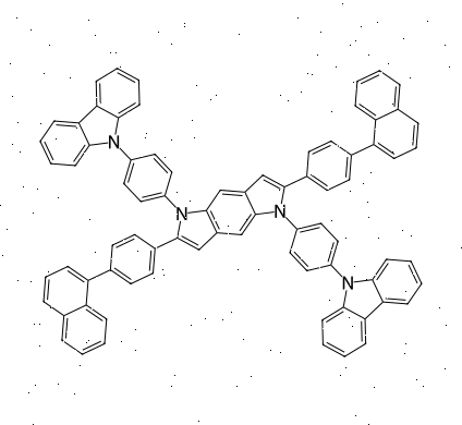 c1ccc2c(-c3ccc(-c4cc5cc6c(cc(-c7ccc(-c8cccc9ccccc89)cc7)n6-c6ccc(-n7c8ccccc8c8ccccc87)cc6)cc5n4-c4ccc(-n5c6ccccc6c6ccccc65)cc4)cc3)cccc2c1